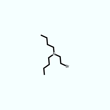 CCCCN(CCBr)CCCC